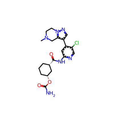 CN1CCn2ncc(-c3cc(NC(=O)[C@H]4CCC[C@@H](OC(N)=O)C4)ncc3Cl)c2C1